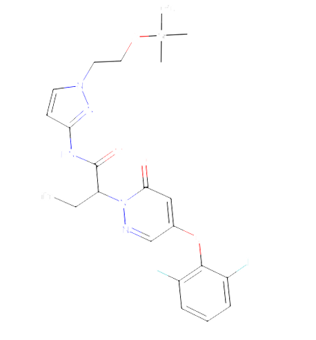 CC(C)CC(C(=O)Nc1ccn(CCO[Si](C)(C)C(C)(C)C)n1)n1ncc(Oc2c(F)cccc2F)cc1=O